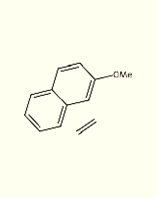 C=C.COc1ccc2ccccc2c1